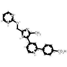 Cc1nc(COc2ncccn2)sc1-c1ccnc(-c2ccc(C(=O)O)cc2)c1